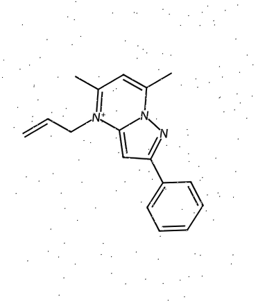 C=CC[n+]1c(C)cc(C)n2nc(-c3ccccc3)cc21